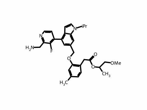 COCC(C)OC(=O)Cc1ccc(C)cc1OCc1cc(-c2ccnc(CN)c2F)c2ccn(C(C)C)c2c1